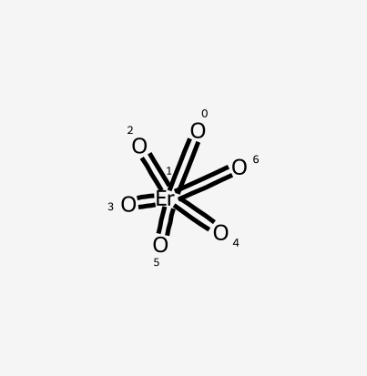 [O]=[Er](=[O])(=[O])(=[O])(=[O])=[O]